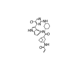 C=CC(=O)NC1CC(C(=O)N[C@H]2CCC[C@@H](Nc3ncc(Cl)c(-c4c[nH]c5ccccc45)n3)C2)C2CC1C2